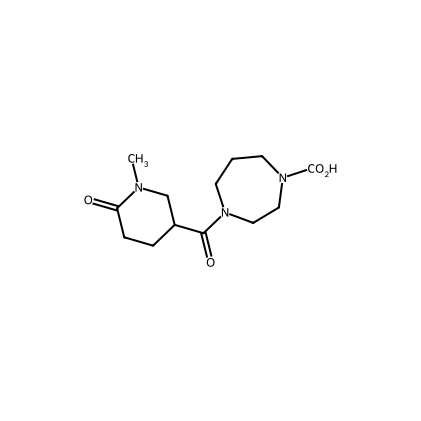 CN1CC(C(=O)N2CCCN(C(=O)O)CC2)CCC1=O